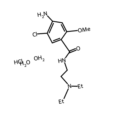 CCN(CC)CCNC(=O)c1cc(Cl)c(N)cc1OC.Cl.O.O